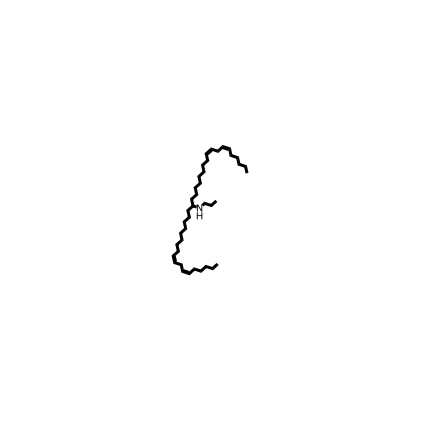 CCCCC/C=C\C/C=C\CCCCCCCCC(CCCCCCCC/C=C\C/C=C\CCCCC)NCCC